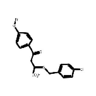 CCOc1ccc(C(=O)CC(SCc2ccc(Cl)cc2)C(=O)O)cc1